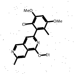 CCOc1nc(-c2c(C)c(OC)cc(OC)c2Cl)cc2cnc(C)cc12